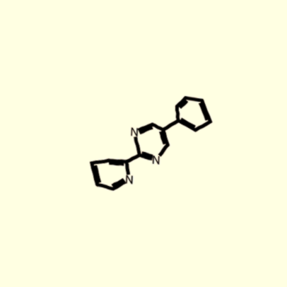 c1ccc(-c2cnc(-c3ccccn3)nc2)cc1